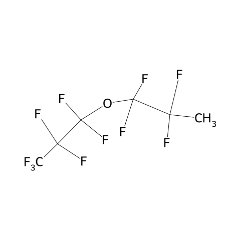 CC(F)(F)C(F)(F)OC(F)(F)C(F)(F)C(F)(F)F